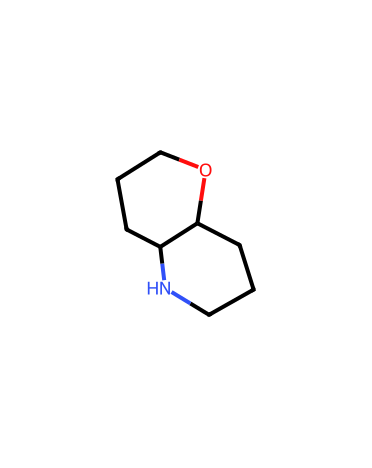 C1COC2CCCNC2C1